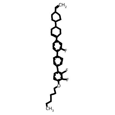 C=CC1CCC(C2CC=C(c3ccc(-c4ccc(-c5ccc(OCCCCCC)c(F)c5F)cc4)c(F)c3)CC2)CC1